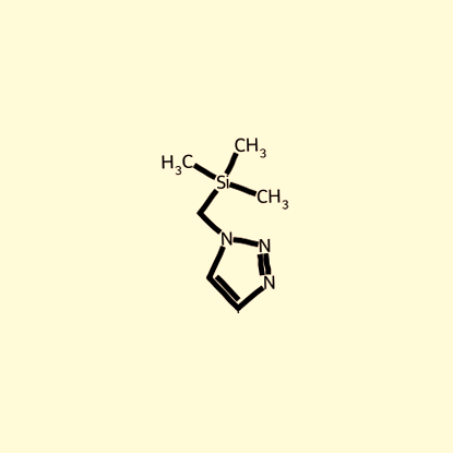 C[Si](C)(C)Cn1c[c]nn1